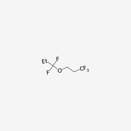 CCC(F)(F)OCCC(F)(F)F